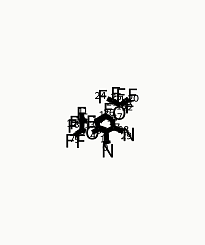 N#CC1=C(OC(C(F)(F)F)C(F)(F)F)C=CC(OC(C(F)(F)F)C(F)(F)F)C1C#N